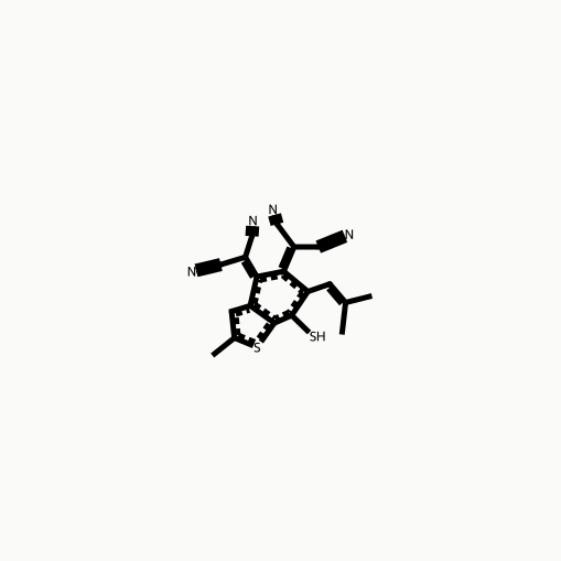 CC(C)=Cc1c(S)c2sc(C)cc2c(=C(C#N)C#N)c1=C(C#N)C#N